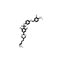 C/C=C/CCC1COC(c2cc(F)c(C(F)(F)Oc3ccc(OCc4ccc(C(F)(F)F)c(F)c4)cc3)c(F)c2)OC1